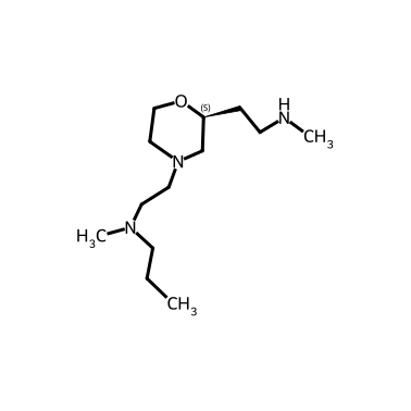 CCCN(C)CCN1CCO[C@@H](CCNC)C1